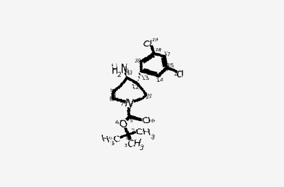 CC(C)(C)OC(=O)N1CC[C@@H](N)[C@H](c2cc(Cl)cc(Cl)c2)C1